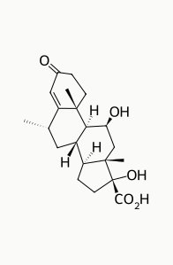 C[C@H]1C[C@@H]2[C@H]([C@@H](O)C[C@@]3(C)[C@H]2CC[C@]3(O)C(=O)O)[C@@]2(C)CCC(=O)C=C12